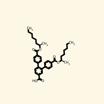 CCCCCC[C@@H](C)OC(=O)c1ccc(-c2ccc(C(=O)O)cc2-c2ccc(C(=O)O[C@H](C)CCCCCC)cc2)cc1